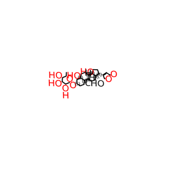 CC1OC(O[C@H]2CC[C@]3(C=O)[C@H]4CC[C@]5(C)[C@@H](C6=CC(=O)OC6)CC[C@]5(O)[C@@H]4CC[C@]3(O)C2)C(O)C(O)C1O